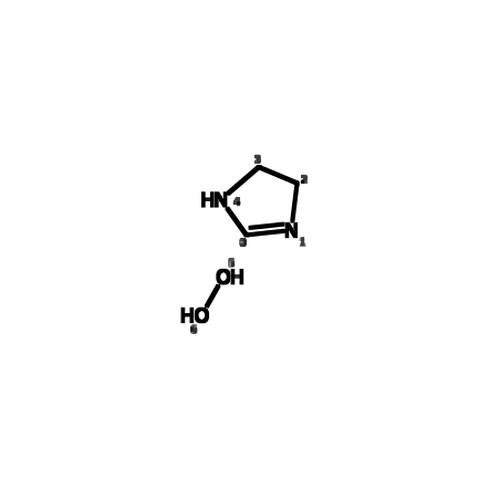 C1=NCCN1.OO